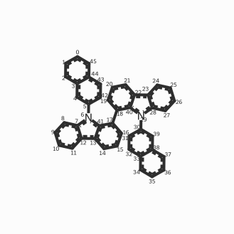 c1ccc2cc(-n3c4ccccc4c4cccc(-c5cccc6c7ccccc7n(-c7ccc8ccccc8c7)c56)c43)ccc2c1